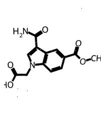 COC(=O)c1ccc2c(c1)c(C(N)=O)cn2CC(=O)O